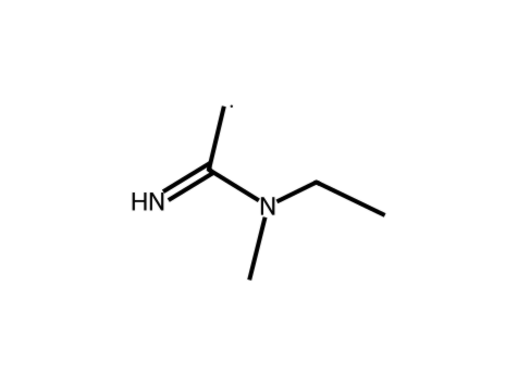 [CH2]C(=N)N(C)CC